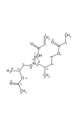 C=CC(=O)O.CCC(=O)OCCC(C)C.COCC(C)OC(C)=O